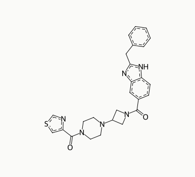 O=C(c1ccc2[nH]c(Cc3ccccc3)nc2c1)N1CC(N2CCN(C(=O)c3cscn3)CC2)C1